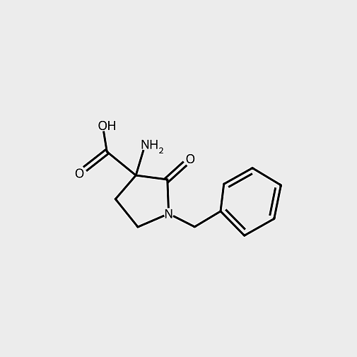 NC1(C(=O)O)CCN(Cc2ccccc2)C1=O